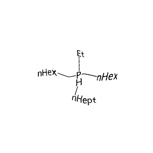 CCCCCCC[PH](CC)(CCCCCC)CCCCCC